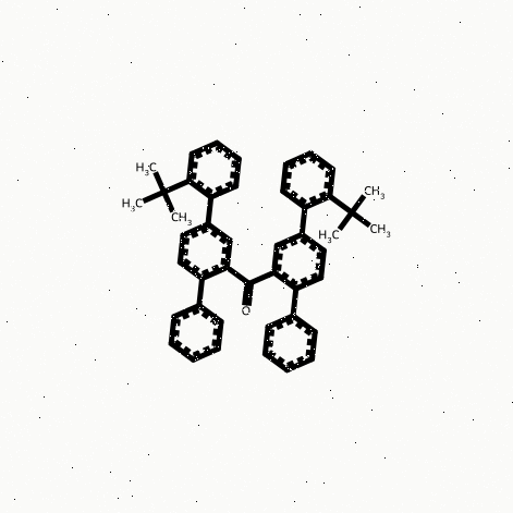 CC(C)(C)c1ccccc1-c1ccc(-c2ccccc2)c(C(=O)c2cc(-c3ccccc3C(C)(C)C)ccc2-c2ccccc2)c1